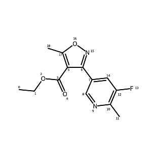 CCOC(=O)c1c(-c2cnc(C)c(F)c2)noc1C